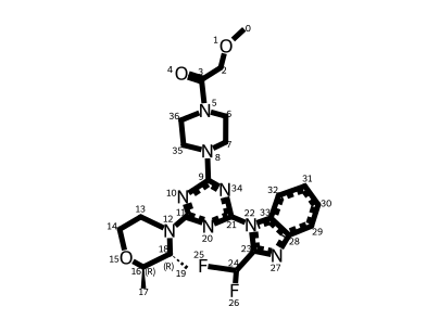 COCC(=O)N1CCN(c2nc(N3CCO[C@H](C)[C@H]3C)nc(-n3c(C(F)F)nc4ccccc43)n2)CC1